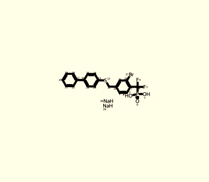 O=P(O)(O)C(F)(F)c1ccc(CSc2ccc(-c3ccccc3)cc2)cc1Br.[NaH].[NaH]